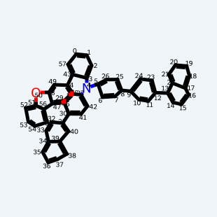 c1ccc(N(c2ccc(-c3ccc(-c4cccc5ccccc45)cc3)cc2)c2ccc(-c3ccc4ccccc4c3)cc2)c(-c2ccc3c(c2)oc2ccccc23)c1